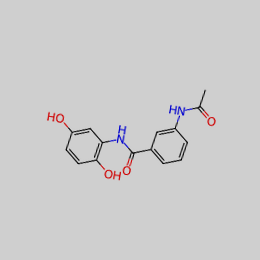 CC(=O)Nc1cccc(C(=O)Nc2cc(O)ccc2O)c1